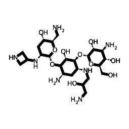 NCC(O)CN[C@@H]1C[C@H](N)C(O[C@H]2O[C@H](CN)[C@@H](O)C[C@H]2NC2CNC2)[C@H](O)[C@H]1O[C@H]1O[C@H](CO)[C@@H](O)[C@H](N)[C@H]1O